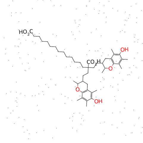 Cc1c(C)c2c(c(C)c1O)CC(CCC(CCCCCCCCCCCCCC(=O)O)(CCC1Cc3c(C)c(O)c(C)c(C)c3OC1C)C(=O)O)C(C)O2